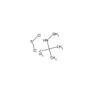 CC(C)(C)N[SiH3].[Cl][Ti][Cl]